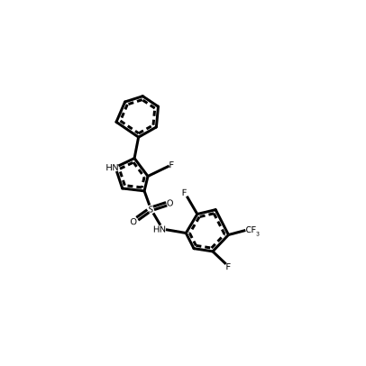 O=S(=O)(Nc1cc(F)c(C(F)(F)F)cc1F)c1c[nH]c(-c2ccccc2)c1F